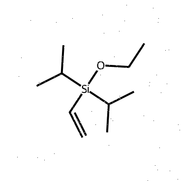 C=C[Si](OCC)(C(C)C)C(C)C